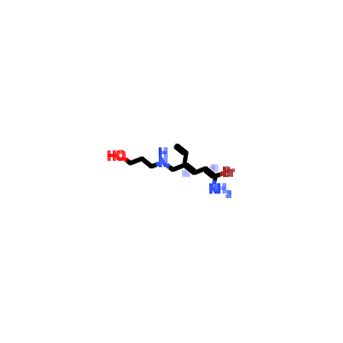 C=C/C(=C\C=C(/N)Br)CNCCCO